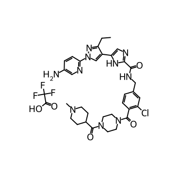 CCc1nn(-c2ccc(N)cn2)cc1-c1cnc(C(=O)NCc2ccc(C(=O)N3CCN(C(=O)C4CCN(C)CC4)CC3)c(Cl)c2)[nH]1.O=C(O)C(F)(F)F